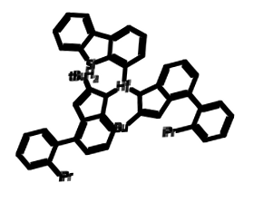 CC(C)c1ccccc1-c1cccc2c1C=C(C(C)(C)C)[CH]2[Hf]([c]1cccc2c1[SiH2]c1ccccc1-2)[CH]1C(C(C)(C)C)=Cc2c(-c3ccccc3C(C)C)cccc21